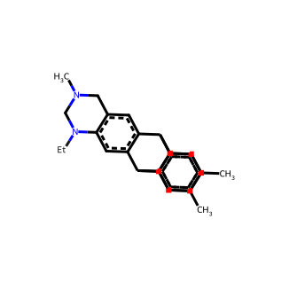 CCN1CN(C)Cc2cc3c(cc21)C1c2ccccc2C3c2cc(C)c(C)cc21